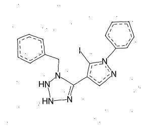 Ic1c(C2=NNNN2Cc2ccccc2)cnn1-c1ccccc1